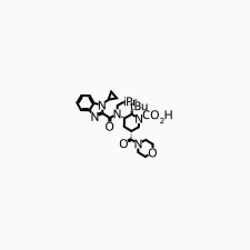 CC(C)CN(C(=O)c1nc2ccccc2n1C1CC1)[C@H]1C[C@@H](C(=O)N2CCOCC2)CN(C(=O)O)C1C(C)(C)C